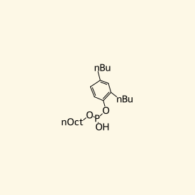 CCCCCCCCOP(O)Oc1ccc(CCCC)cc1CCCC